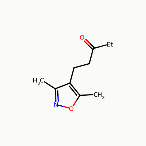 CCC(=O)CCc1c(C)noc1C